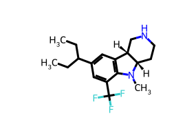 CCC(CC)c1cc2c(c(C(F)(F)F)c1)N(C)[C@H]1CCNC[C@@H]21